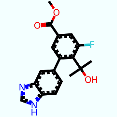 COC(=O)c1cc(F)c(C(C)(C)O)c(-c2ccc3[nH]cnc3c2)c1